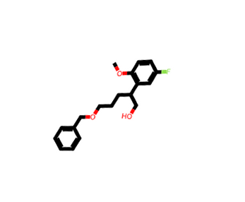 COc1ccc(F)cc1C(CO)CCCOCc1ccccc1